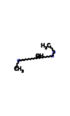 CCCCC/C=C\CC=CCCCCCCCCC(O)CCCCCCCC/C=C\C/C=C\CCCCC